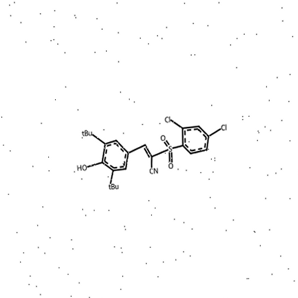 CC(C)(C)c1cc(/C=C(\C#N)S(=O)(=O)c2ccc(Cl)cc2Cl)cc(C(C)(C)C)c1O